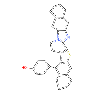 Oc1ccc(-c2c3ccccc3cc3sc4c(ccn5c6cc7ccccc7cc6nc45)c23)cc1